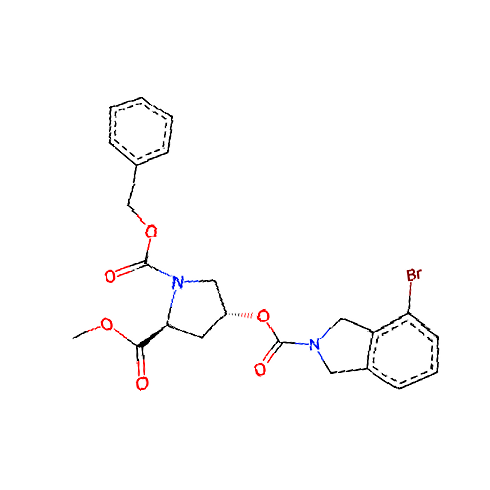 COC(=O)[C@@H]1C[C@@H](OC(=O)N2Cc3cccc(Br)c3C2)CN1C(=O)OCc1ccccc1